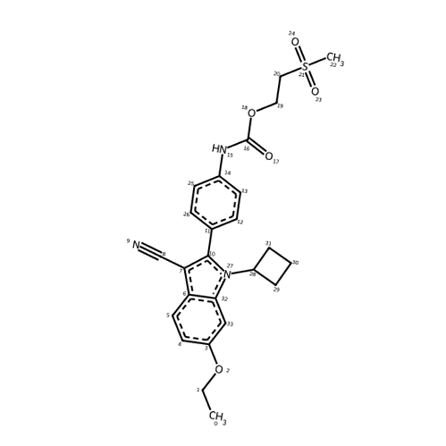 CCOc1ccc2c(C#N)c(-c3ccc(NC(=O)OCCS(C)(=O)=O)cc3)n(C3CCC3)c2c1